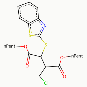 CCCCCOC(=O)C(CCl)C(Sc1nc2ccccc2s1)C(=O)OCCCCC